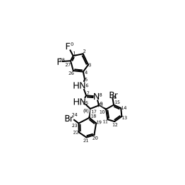 Fc1ccc(CNC2=N[C@@H](c3ccccc3Br)[C@@H](c3ccccc3Br)N2)cc1F